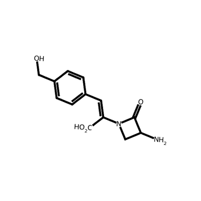 NC1CN(/C(=C/c2ccc(CO)cc2)C(=O)O)C1=O